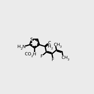 C=C(/C(F)=C(F)\C(C)=C/C)c1csc(N)c1C(=O)O